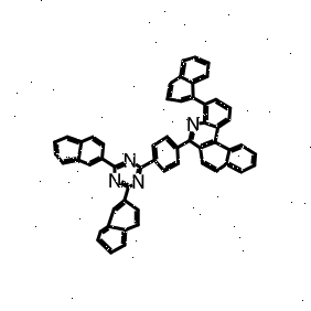 c1ccc2cc(-c3nc(-c4ccc(-c5nc6c(-c7cccc8ccccc78)cccc6c6c5ccc5ccccc56)cc4)nc(-c4ccc5ccccc5c4)n3)ccc2c1